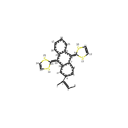 C/C=C(/C)c1ccc2c(=C3SC=CS3)c3ccccc3c(=C3SC=CS3)c2c1